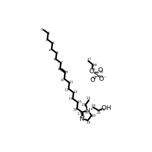 CCCCCCCCC=CCCCCCCCC1=NCC[N+]1(CC)CCO.CCOS(=O)(=O)[O-]